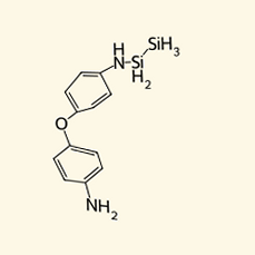 Nc1ccc(Oc2ccc(N[SiH2][SiH3])cc2)cc1